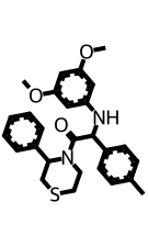 COc1cc(NC(C(=O)N2CCSCC2c2ccccc2)c2ccc(C)cc2)cc(OC)c1